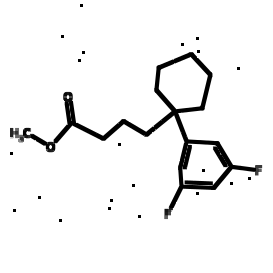 COC(=O)CCCC1(c2cc(F)cc(F)c2)CCCCC1